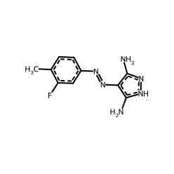 Cc1ccc(N=Nc2c(N)n[nH]c2N)cc1F